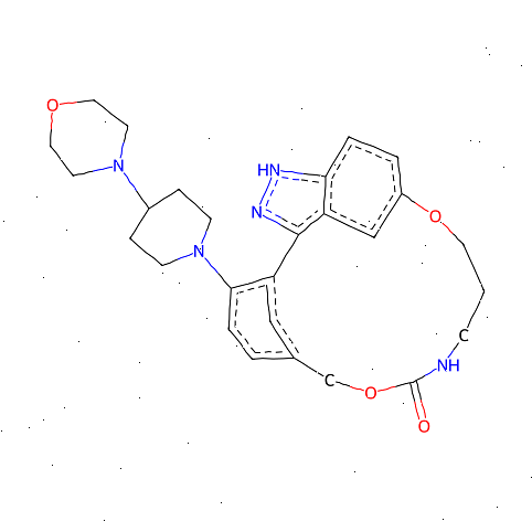 O=C1NCCCOc2ccc3[nH]nc(c3c2)-c2cc(ccc2N2CCC(N3CCOCC3)CC2)CO1